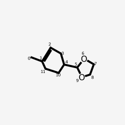 CC1=CCC(C2OCCO2)CC1